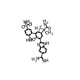 CC(C)(C(N)=O)c1cc(-c2nc3cc(C(=N)N)ccc3[nH]2)c(O)c(-c2cc(S(N)(=O)=O)ccc2O)c1